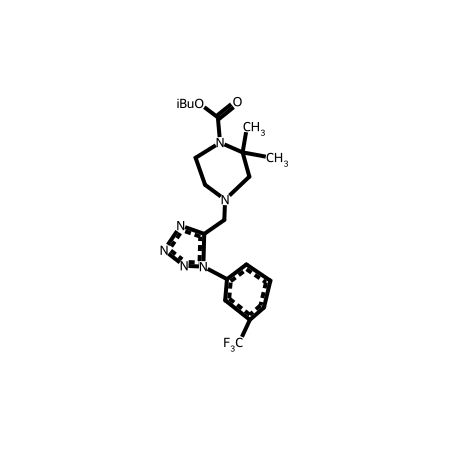 CC(C)COC(=O)N1CCN(Cc2nnnn2-c2cccc(C(F)(F)F)c2)CC1(C)C